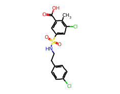 Cc1c(Cl)cc(S(=O)(=O)NCCc2ccc(Cl)cc2)cc1C(=O)O